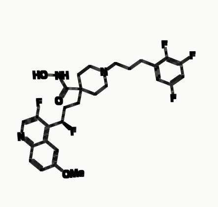 COc1ccc2ncc(F)c([C@H](F)CCC3(C(=O)NO)CCN(CCCc4cc(F)cc(F)c4F)CC3)c2c1